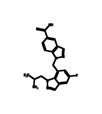 CC(C)Cn1ncc2cc(F)cc(Cn3ncc4cc(C(=O)O)ccc43)c21